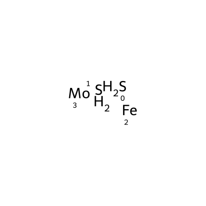 S.S.[Fe].[Mo]